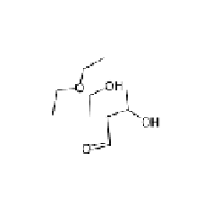 CC(O)CC=O.CCO.CCOCC